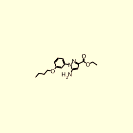 CCCCOc1cccc(-n2nc(C(=O)OCC)cc2N)c1